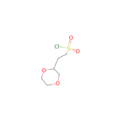 O=S(=O)(Cl)CCC1COCCO1